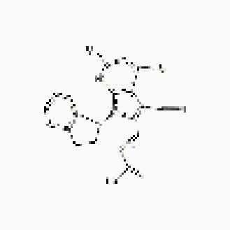 Cc1cc(C)c2c(C#N)c(/C=C/C(=O)O)n(C3CCc4ccccc43)c2n1